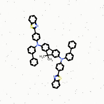 CC1(C)c2cc(N(c3ccc(-c4nc5ccccc5s4)cc3)c3cccc(-c4ccccc4)c3)ccc2-c2ccc(N(c3ccc(-c4nc5ccccc5s4)cc3)c3cccc(-c4ccccc4)c3)cc21